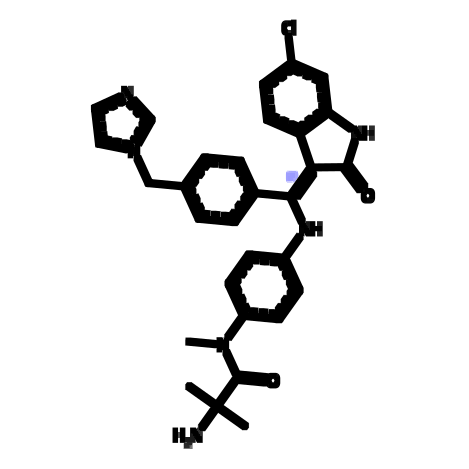 CN(C(=O)C(C)(C)N)c1ccc(N/C(=C2\C(=O)Nc3cc(Cl)ccc32)c2ccc(Cn3ccnc3)cc2)cc1